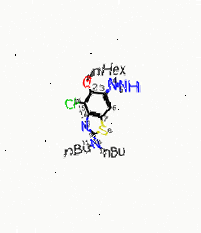 CCCCCCOc1c(N=N)cc2sc(N(CCCC)CCCC)nc2c1Cl